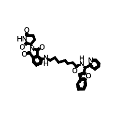 O=C1CCC(N2C(=O)c3cccc(NCCCCCCC(=O)NC(c4ccccn4)c4cc5ccccc5o4)c3C2=O)C(=O)N1